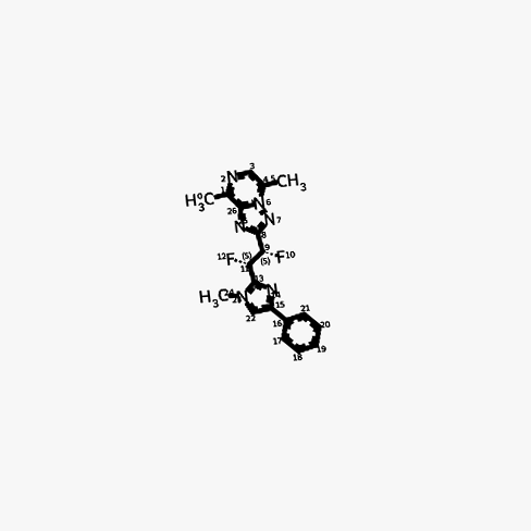 Cc1ncc(C)n2nc([C@H](F)[C@@H](F)c3nc(-c4ccccc4)cn3C)nc12